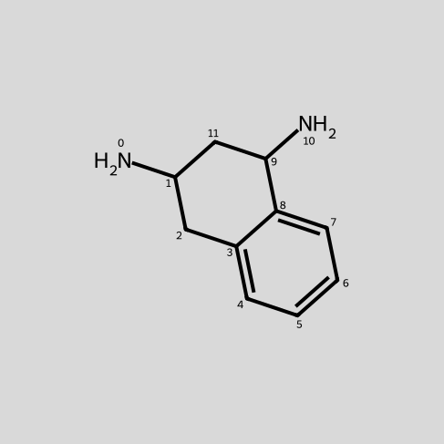 NC1Cc2ccccc2C(N)C1